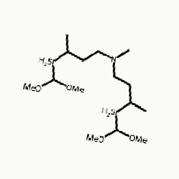 COC(OC)[SiH2]C(C)CCN(C)CCC(C)[SiH2]C(OC)OC